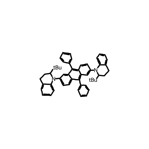 CC(C)(C)C1CCc2ccccc2N1c1ccc2c(-c3ccccc3)c3cc(N4c5ccccc5CCC4C(C)(C)C)ccc3c(-c3ccccc3)c2c1